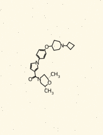 C[C@@H]1CN(C(=O)c2ccn(-c3ccc(OC4CCN(C5CCC5)CC4)cc3)c2)C[C@H](C)O1